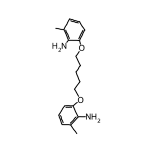 Cc1cccc(OCCCCCOc2cccc(C)c2N)c1N